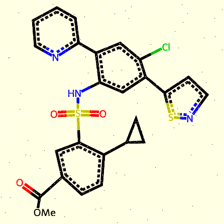 COC(=O)c1ccc(C2CC2)c(S(=O)(=O)Nc2cc(-c3ccns3)c(Cl)cc2-c2ccccn2)c1